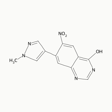 Cn1cc(-c2cc3ncnc(O)c3cc2[N+](=O)[O-])cn1